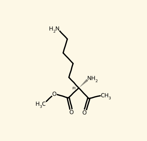 COC(=O)[C@@](N)(CCCCN)C(C)=O